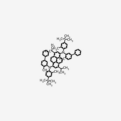 Cc1cc([Si](C)(C)C)ccc1N(c1cc(-c2ccccc2)ccc1C)c1cc(C(C)C)c2ccc3c(N(c4ccc(S(C)(C)C)cc4C)c4cc(-c5ccccc5)ccc4C)cc(C(C)C)c4ccc1c2c43